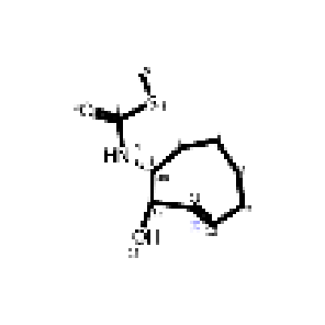 CSC(=O)N[C@@H]1CCCC/C=C/C1O